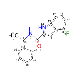 C[C@H](NC(=O)c1cc2c(F)cccc2[nH]1)c1ccccc1